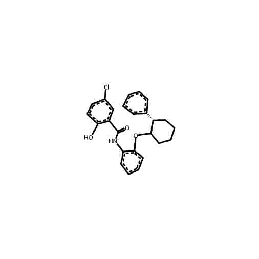 O=C(Nc1ccccc1OC1CCCC[C@H]1c1ccccc1)c1cc(Cl)ccc1O